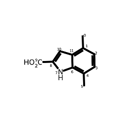 Cc1ccc(C)c2[nH]c(C(=O)O)cc12